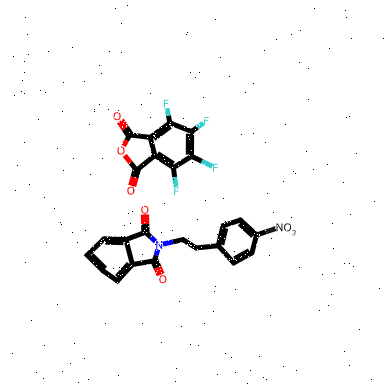 O=C1OC(=O)c2c(F)c(F)c(F)c(F)c21.O=C1c2ccccc2C(=O)N1CCc1ccc([N+](=O)[O-])cc1